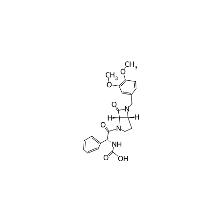 COc1ccc(CN2C(=O)[C@@H]3[C@H]2CCN3C(=O)[C@H](NC(=O)O)c2ccccc2)cc1OC